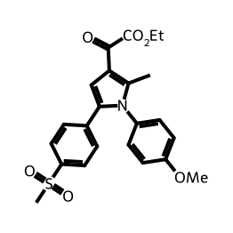 CCOC(=O)C(=O)c1cc(-c2ccc(S(C)(=O)=O)cc2)n(-c2ccc(OC)cc2)c1C